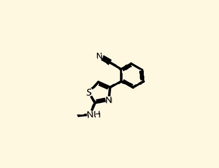 CNc1nc(-c2ccccc2C#N)cs1